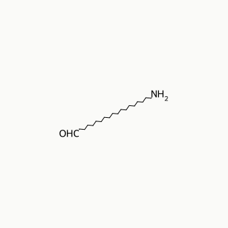 NCCCCCCCCCCCCCCCCCCC=O